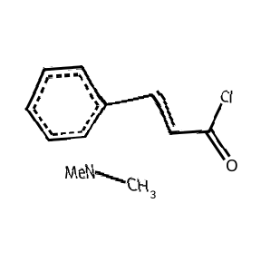 CNC.O=C(Cl)C=Cc1ccccc1